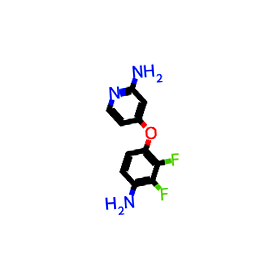 Nc1cc(Oc2ccc(N)c(F)c2F)ccn1